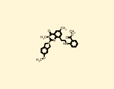 COC(=O)c1ccccc1NCCc1cc(C)cc2c(=O)n(C)c(N3Cc4ccc(OC)cc4C3)nc12